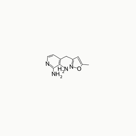 Cc1cc(Cc2ccnc(N)c2N)no1